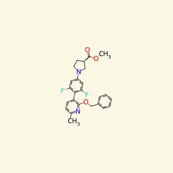 COC(=O)[C@@H]1CCN(c2cc(F)c(-c3ccc(C)nc3OCc3ccccc3)c(F)c2)C1